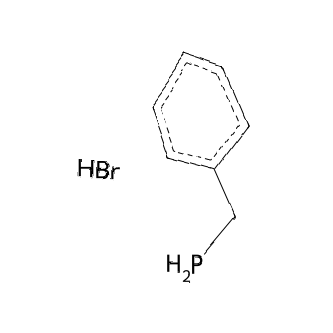 Br.PCc1ccccc1